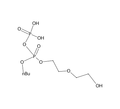 CCCCOP(=O)(OCCOCCO)OP(=O)(O)O